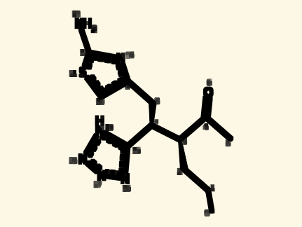 CCC[C@H](C(C)=O)[C@H](Cc1csc(N)n1)c1nnn[nH]1